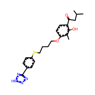 Cc1c(OCCCCSc2ccc(-c3nn[nH]n3)cc2)ccc(C(=O)CC(C)C)c1O